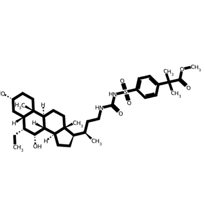 CC[C@H]1[C@@H](O)[C@@H]2[C@H](CC[C@]3(C)[C@@H]([C@H](C)CCNC(=O)NS(=O)(=O)c4ccc(C(C)(C)C(=O)OC)cc4)CC[C@@H]23)[C@@]2(C)CC[C@@H](O)C[C@@H]12